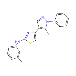 Cc1cccc(Nc2nc(-c3cnn(-c4ccccc4)c3C)cs2)c1